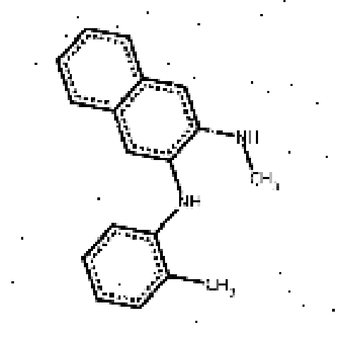 CNc1cc2ccccc2cc1Nc1ccccc1C